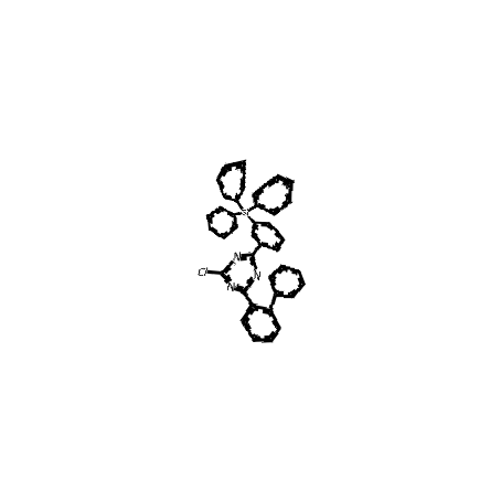 Clc1nc(-c2cccc([Si](c3ccccc3)(c3ccccc3)c3ccccc3)c2)nc(-c2ccccc2-c2ccccc2)n1